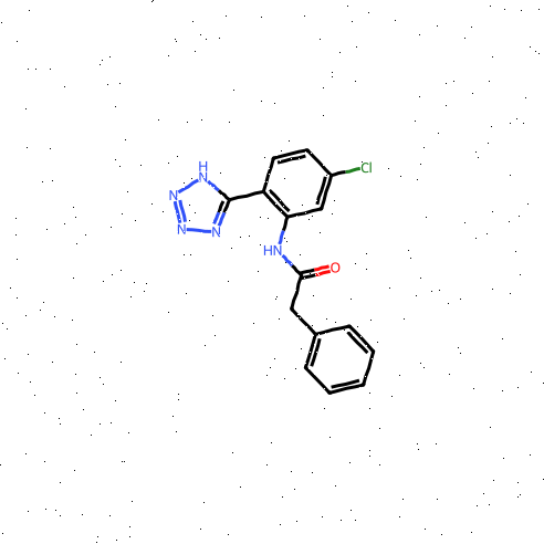 O=C(Cc1ccccc1)Nc1cc(Cl)ccc1-c1nnn[nH]1